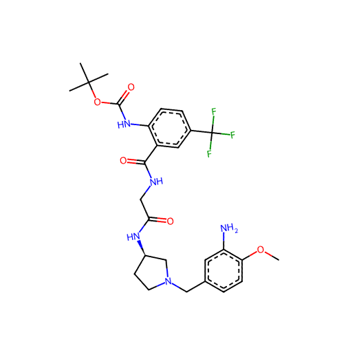 COc1ccc(CN2CC[C@@H](NC(=O)CNC(=O)c3cc(C(F)(F)F)ccc3NC(=O)OC(C)(C)C)C2)cc1N